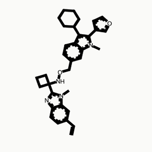 C=Cc1ccc2nc(C3(NOCc4ccc5c(C6CCCCC6)c(-c6ccoc6)n(C)c5c4)CCC3)n(C)c2c1